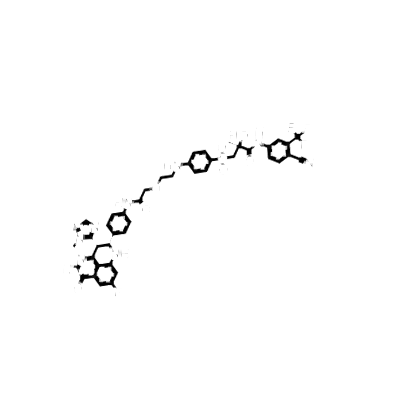 Cn1ncnc1[C@H]1c2n[nH]c(=O)c3cc(F)cc(c23)N[C@@H]1c1ccc(NC(=O)COCCNc2ccc(S(=O)(=O)C[C@](C)(O)C(=O)Nc3ccc(C#N)c(C(F)(F)F)c3)cc2)cc1